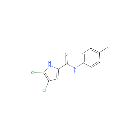 Cc1ccc(NC(=O)c2cc(Cl)c(Cl)[nH]2)cc1